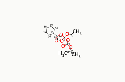 CCOC([O])(OC(=O)OC(C)C)OC(=O)C1CCCCC1